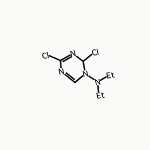 CCN(CC)N1C=NC(Cl)=NC1Cl